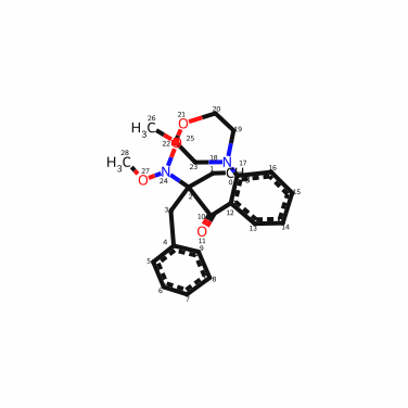 CCC(Cc1ccccc1)(C(=O)c1ccccc1N1CCOCC1)N(OC)OC